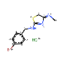 CN=C1CSC(NCc2ccc(Br)cc2)=N1.Cl